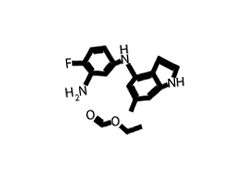 CCOC=O.Cc1cc(Nc2ccc(F)c(N)c2)c2cc[nH]c2c1